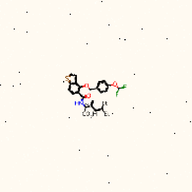 C=C(CC(CC)CC)[C@H](NC(=O)c1ccc2sccc2c1OCc1ccc(OC(F)F)cc1)C(=O)O